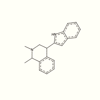 CC1c2ccccc2C(c2cc3ccccc3[nH]2)CN1C